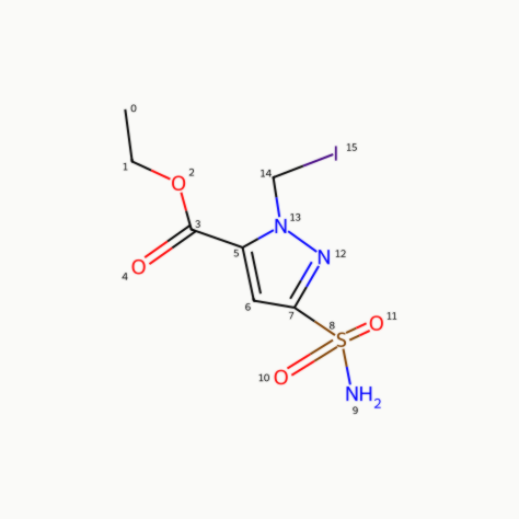 CCOC(=O)c1cc(S(N)(=O)=O)nn1CI